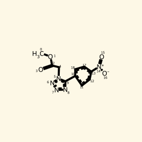 COC(=O)Cn1nnnc1-c1ccc([N+](=O)[O-])cc1